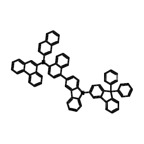 c1ccc(C2(c3ccccc3)c3ccccc3-c3cc(-n4c5ccccc5c5cc(-c6ccc(N(c7ccc8ccccc8c7)c7cc8ccccc8c8ccccc78)c7ccccc67)ccc54)ccc32)cc1